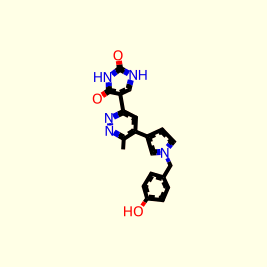 Cc1nnc(-c2c[nH]c(=O)[nH]c2=O)cc1-c1ccn(Cc2ccc(O)cc2)c1